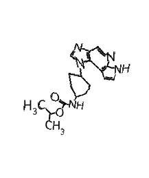 CC(C)OC(=O)NC1CCC(n2cnc3cnc4[nH]ccc4c32)CC1